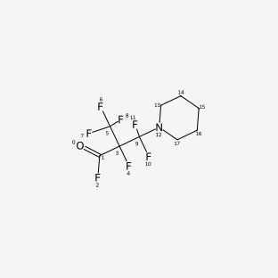 O=C(F)C(F)(C(F)(F)F)C(F)(F)N1CCCCC1